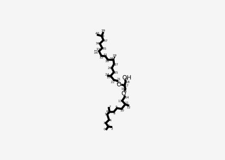 CC(C)CCCC(C)CCCC(C)CCOCC(CO)OCCC(C)CCC[C@H](C)CCC[C@H](C)CCCC(C)C